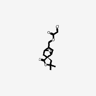 CC1(C)C[C@]2(CC3OC2CC3COC(=O)CCl)C(=O)O1